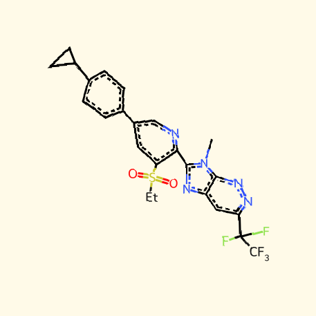 CCS(=O)(=O)c1cc(-c2ccc(C3CC3)cc2)cnc1-c1nc2cc(C(F)(F)C(F)(F)F)nnc2n1C